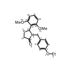 CCOc1ccc(CN2C(=O)CSC2c2c(OC)cccc2OC)cc1